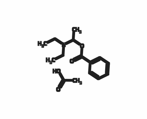 CC(=O)O.CCN(CC)C(C)OC(=O)c1ccccc1